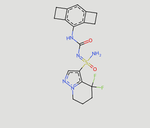 NS(=O)(=NC(=O)Nc1c2c(cc3c1CC3)CC2)c1cnn2c1C(F)(F)CCC2